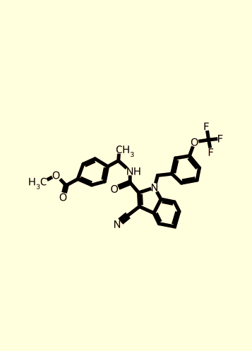 COC(=O)c1ccc(C(C)NC(=O)c2c(C#N)c3ccccc3n2Cc2cccc(OC(F)(F)F)c2)cc1